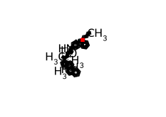 CCCCCC[N+]1(c2ccccc2)CCC(NC(=O)CCC(C)[C@H]2CC[C@H]3[C@@H]4CCC5CCCC[C@]5(C)[C@H]4CC[C@]23C)CC1.[I-]